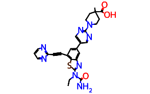 CCN(C(N)=O)c1nc2cc(-c3cnc(N4CCC(C)(C(=O)O)CC4)nc3)cc(C#Cc3ncccn3)c2s1